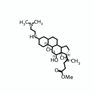 COC(=O)CC[C@@H](C)[C@H]1CCC2C3CCC4CC(NCCN(C)C)CC[C@]4(C)C3C[C@H](O)[C@@]21C